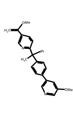 C=C(OC)c1ccc(C(C)(c2ccc(-c3cncc(OC)c3)cc2)C(C)C)nc1